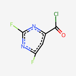 O=C(Cl)c1cc(F)nc(F)n1